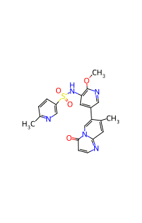 COc1ncc(-c2cn3c(=O)ccnc3cc2C)cc1NS(=O)(=O)c1ccc(C)nc1